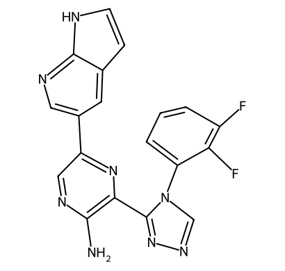 Nc1ncc(-c2cnc3[nH]ccc3c2)nc1-c1nncn1-c1cccc(F)c1F